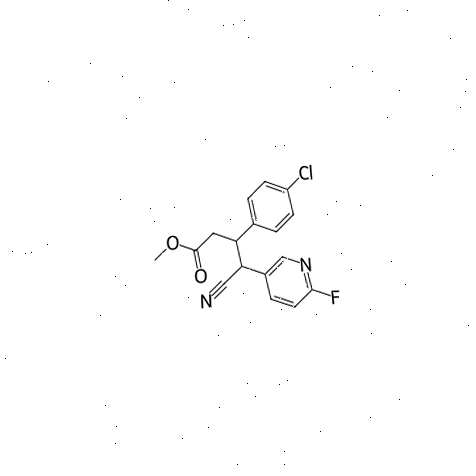 COC(=O)CC(c1ccc(Cl)cc1)C(C#N)c1ccc(F)nc1